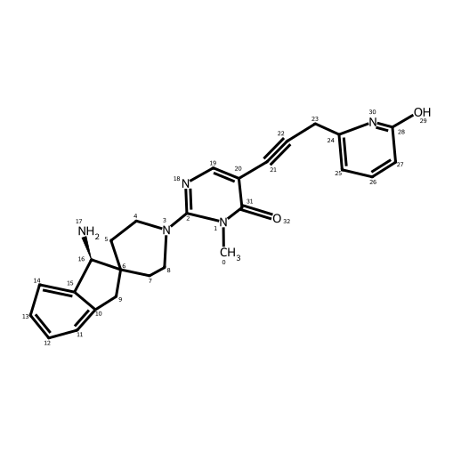 Cn1c(N2CCC3(CC2)Cc2ccccc2[C@H]3N)ncc(C#CCc2cccc(O)n2)c1=O